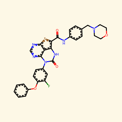 O=C(Nc1ccc(CN2CCOCC2)cc1)c1sc2ncnc3c2c1NC(=O)N3c1ccc(Oc2ccccc2)c(F)c1